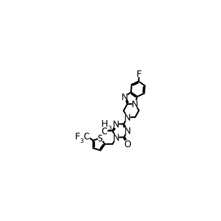 Cc1nc(N2CCn3c(nc4cc(F)ccc43)C2)nc(=O)n1Cc1ccc(C(F)(F)F)s1